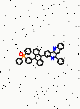 O=P(c1ccccc1)(c1ccccc1)c1cccc(-c2c3ccccc3c(-c3ccc4c(c3)nc(-c3ccccc3)c3cc5ccccc5nc34)c3ccccc23)c1